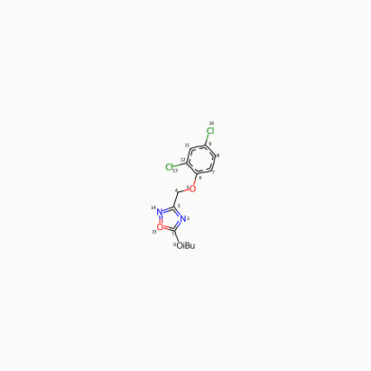 CC(C)COc1nc(COc2ccc(Cl)cc2Cl)no1